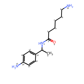 CC(NC(=O)CCCCCN)c1ccc(N)cc1